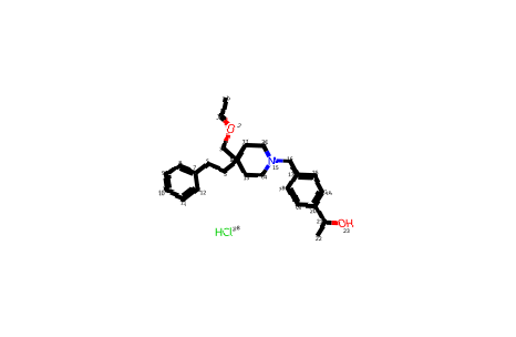 CCOCC1(CCc2ccccc2)CCN(Cc2ccc(C(C)O)cc2)CC1.Cl